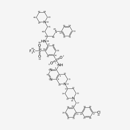 O=S(=O)(Nc1ncnc2c1CCN(C1CCN(Cc3ccccc3-c3ccc(Cl)cc3)CC1)C2)c1ccc(NC(CCN2CCCCC2)CSc2ccccc2)c(S(=O)(=O)C(F)(F)F)c1